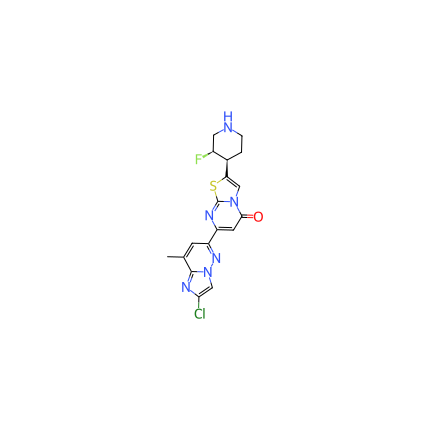 Cc1cc(-c2cc(=O)n3cc([C@@H]4CCNC[C@@H]4F)sc3n2)nn2cc(Cl)nc12